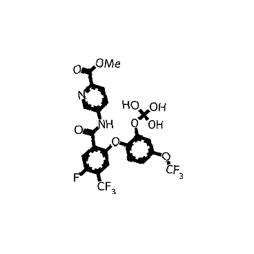 COC(=O)c1ccc(NC(=O)c2cc(F)c(C(F)(F)F)cc2Oc2ccc(OC(F)(F)F)cc2OC(O)(O)O)cn1